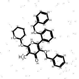 Cc1c(OC2CCCCO2)oc(-c2ccccc2OCc2ccccc2)c(OCc2ccccc2)c1=O